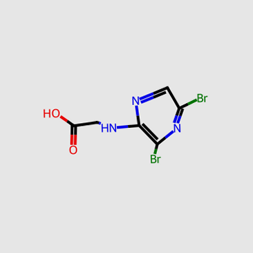 O=C(O)CNc1ncc(Br)nc1Br